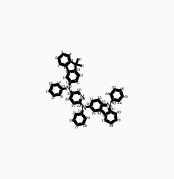 CC1(C)c2ccccc2-c2cc(N(c3ccccc3)c3ccc(N(c4ccccc4)c4ccc5c(c4)c4ccccc4n5-c4ccccc4)nc3)ccc21